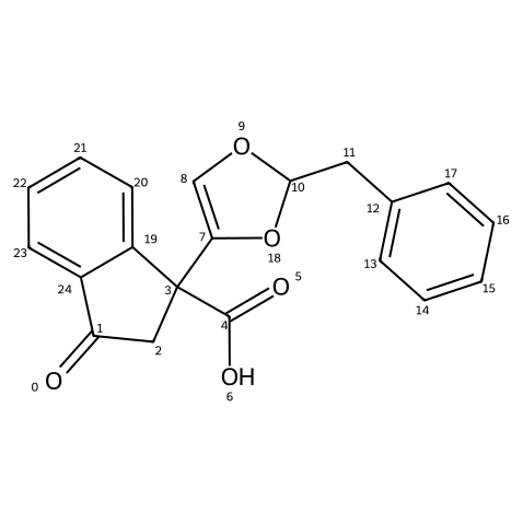 O=C1CC(C(=O)O)(C2=COC(Cc3ccccc3)O2)c2ccccc21